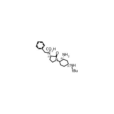 CC(C)(C)N[C@@H]1CCC(N2CC[C@H](N(Cc3ccccc3)C(=O)O)C2=O)[C@H](N)C1